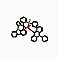 O=P1(c2ccccc2)c2ccccc2C2(c3ccccc3-n3c4ccccc4c4cccc2c43)c2ccc(-c3c4ccccc4c(-c4ccccc4)c4ccccc34)cc21